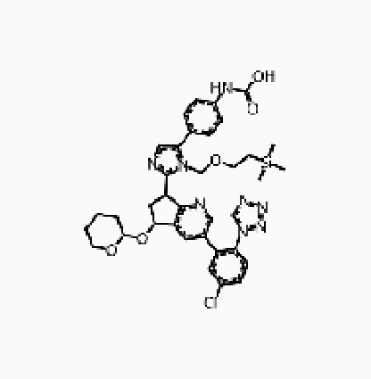 C[Si](C)(C)CCOCn1c(-c2ccc(NC(=O)O)cc2)cnc1C1CC(OC2CCCCO2)c2cc(-c3cc(Cl)ccc3-n3cnnn3)cnc21